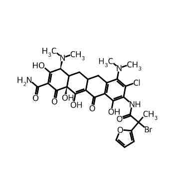 CN(C)c1c(Cl)c(NC(=O)C(C)(Br)c2ccco2)c(O)c2c1CC1CC3[C@H](N(C)C)C(O)=C(C(N)=O)C(=O)[C@@]3(O)C(O)=C1C2=O